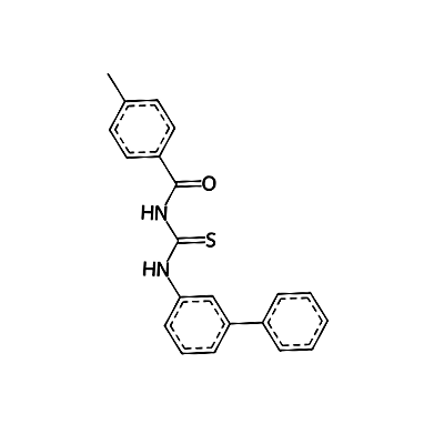 Cc1ccc(C(=O)NC(=S)Nc2cccc(-c3ccccc3)c2)cc1